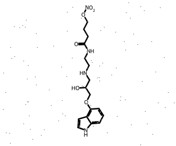 O=C(CCCO[N+](=O)[O-])NCCNCC(O)COc1cccc2[nH]ccc12